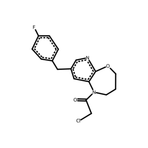 O=C(CCl)N1CCCOc2ncc(Cc3ccc(F)cc3)cc21